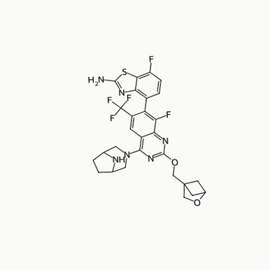 Nc1nc2c(-c3c(C(F)(F)F)cc4c(N5CC6CCC(C5)N6)nc(OCC56COC(C5)C6)nc4c3F)ccc(F)c2s1